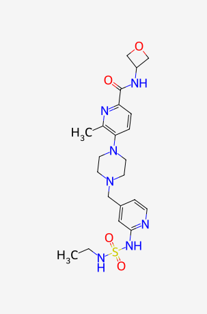 CCNS(=O)(=O)Nc1cc(CN2CCN(c3ccc(C(=O)NC4COC4)nc3C)CC2)ccn1